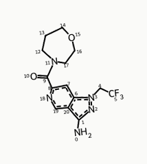 Nc1nn(CC(F)(F)F)c2cc(C(=O)N3CCCOCC3)ncc12